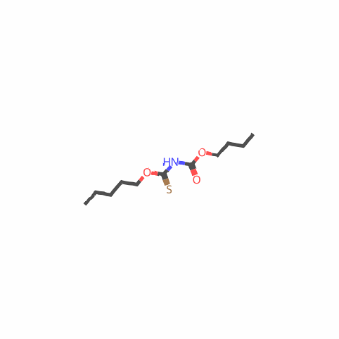 CCCCCOC(=S)NC(=O)OCCCC